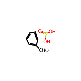 O=Cc1ccccc1.O=S(O)O